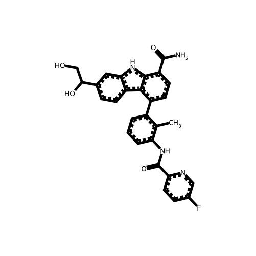 Cc1c(NC(=O)c2ccc(F)cn2)cccc1-c1ccc(C(N)=O)c2[nH]c3cc(C(O)CO)ccc3c12